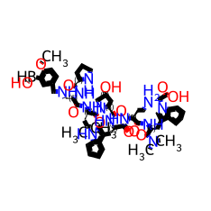 COc1ccc(CNC[C@H](NC(=O)[C@@H]2CCCN2)C(=O)N[C@@H](CC(C)C)C(=O)N2C[C@H](O)C[C@H]2C(=O)N[C@@H](Cc2c[nH]c3ccccc23)C(=O)N[C@@H](CCN)C(=O)N[C@@H](Cc2cn(CC(=O)O)c3ccccc23)C(=O)N(C)C)cc1BO